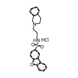 Cl.O=S(=O)(NCCCN1CCc2ccccc2C1)c1ccc2oc3ccccc3c2c1